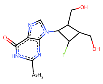 O=c1[nH]c([AsH2])nc2c1ncn2C1C(F)C(CO)C1CO